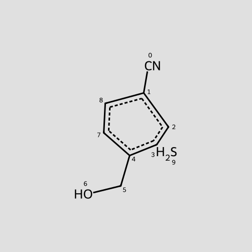 N#Cc1ccc(CO)cc1.S